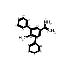 C=C(N)c1cc(C2=CCCC=C2)c(C)c(-c2ccccc2)c1